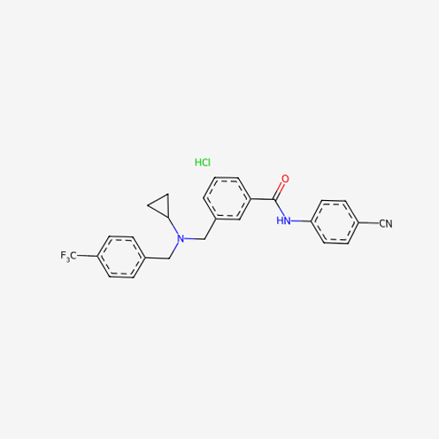 Cl.N#Cc1ccc(NC(=O)c2cccc(CN(Cc3ccc(C(F)(F)F)cc3)C3CC3)c2)cc1